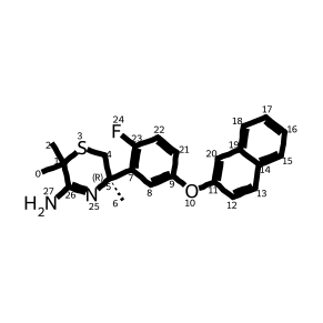 CC1(C)SC[C@@](C)(c2cc(Oc3ccc4ccccc4c3)ccc2F)N=C1N